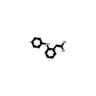 BrC(Br)=Cc1ccccc1Nc1ccccc1